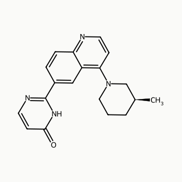 C[C@H]1CCCN(c2ccnc3ccc(-c4nccc(=O)[nH]4)cc23)C1